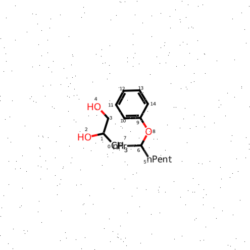 CC(O)CO.CCCCCC(CCC)Oc1ccccc1